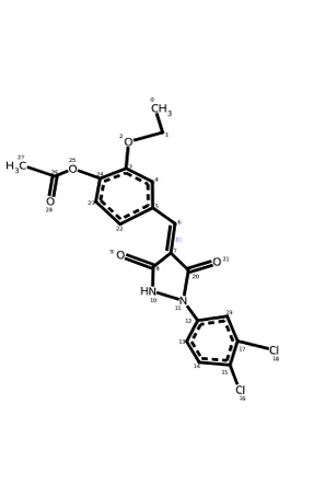 CCOc1cc(/C=C2\C(=O)NN(c3ccc(Cl)c(Cl)c3)C2=O)ccc1OC(C)=O